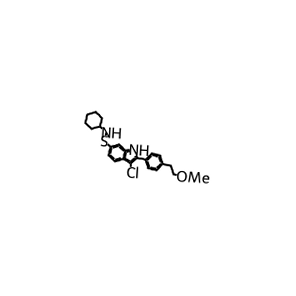 COCCc1ccc(-c2[nH]c3cc(SNC4CCCCC4)ccc3c2Cl)cc1